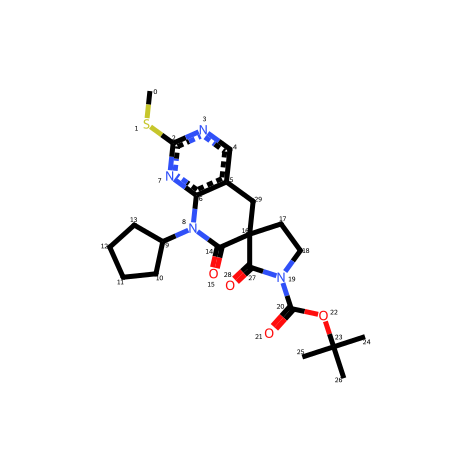 CSc1ncc2c(n1)N(C1CCCC1)C(=O)C1(CCN(C(=O)OC(C)(C)C)C1=O)C2